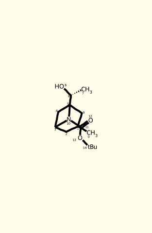 CC1CC2CC([C@@H](C)O)(C1)N2C(=O)OC(C)(C)C